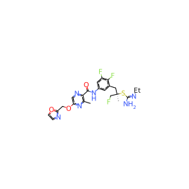 CC/N=C(/N)S[C@@](C)(CF)Cc1cc(NC(=O)c2ncc(OCc3ncco3)nc2C)cc(F)c1F